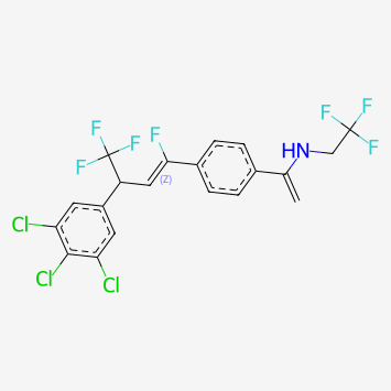 C=C(NCC(F)(F)F)c1ccc(/C(F)=C/C(c2cc(Cl)c(Cl)c(Cl)c2)C(F)(F)F)cc1